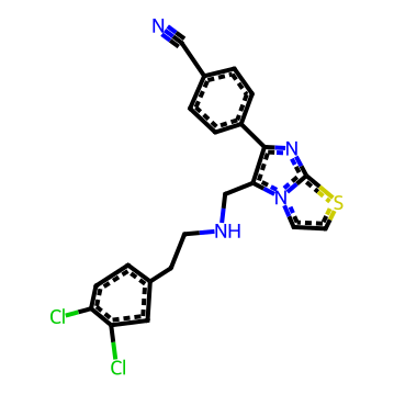 N#Cc1ccc(-c2nc3sccn3c2CNCCc2ccc(Cl)c(Cl)c2)cc1